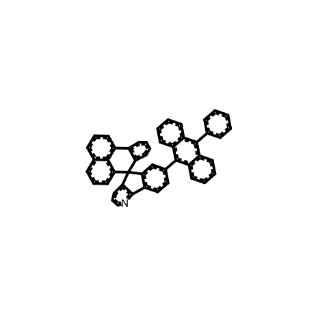 c1ccc(-c2c3ccccc3c(-c3ccc4c(c3)C3(c5ccccc5-c5cccc6cccc3c56)c3cccnc3-4)c3ccccc23)cc1